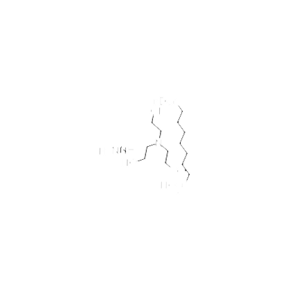 CCCCCCCCCCCCCCCCCC(=O)O.I.N.N.OCCN(CCO)CCO